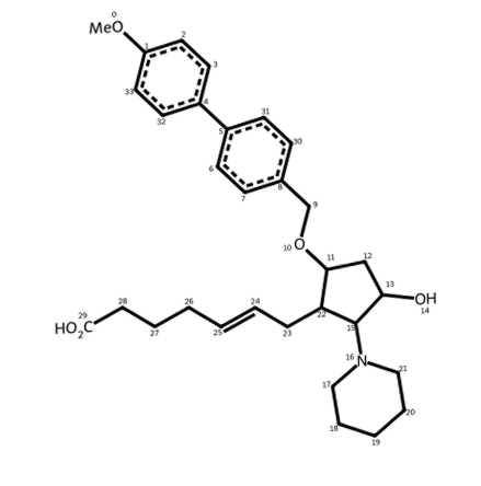 COc1ccc(-c2ccc(COC3CC(O)C(N4CCCCC4)C3CC=CCCCC(=O)O)cc2)cc1